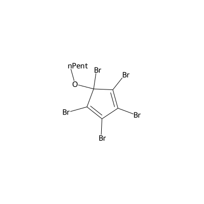 CCCCCOC1(Br)C(Br)=C(Br)C(Br)=C1Br